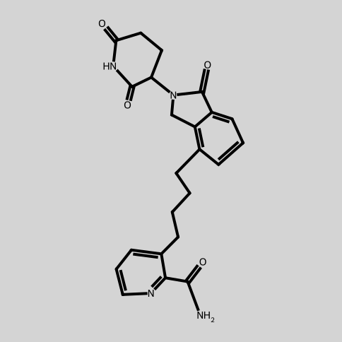 NC(=O)c1ncccc1CCCCc1cccc2c1CN(C1CCC(=O)NC1=O)C2=O